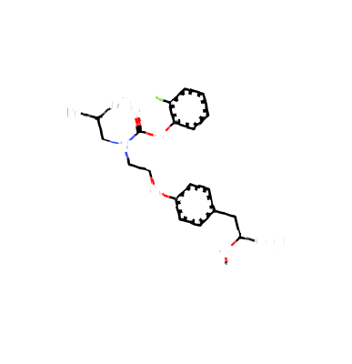 CCCC(CCC)CN(CCOc1ccc(CC(OCC)C(=O)O)cc1)C(=O)Oc1ccccc1F